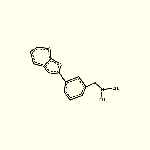 CN(C)Cc1cccc(-c2nc3ncccc3o2)c1